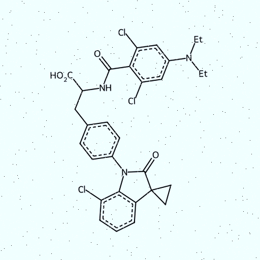 CCN(CC)c1cc(Cl)c(C(=O)NC(Cc2ccc(N3C(=O)C4(CC4)c4cccc(Cl)c43)cc2)C(=O)O)c(Cl)c1